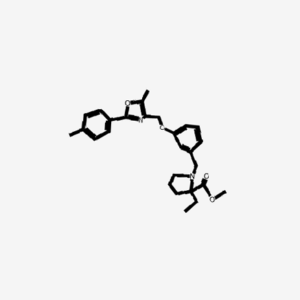 CCC1(C(=O)OC)CCCN1Cc1cccc(OCc2nc(-c3ccc(C)cc3)oc2C)c1